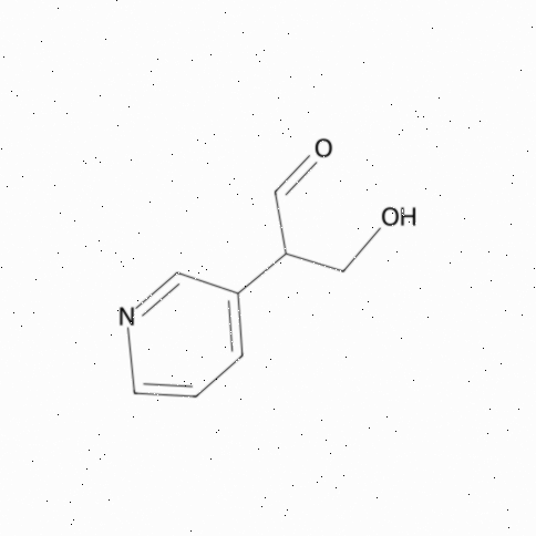 O=CC(CO)c1cccnc1